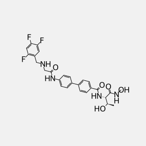 C[C@@H](O)[C@H](NC(=O)c1ccc(-c2ccc(NC(=O)CNCc3cc(F)c(F)cc3F)cc2)cc1)C(=O)NO